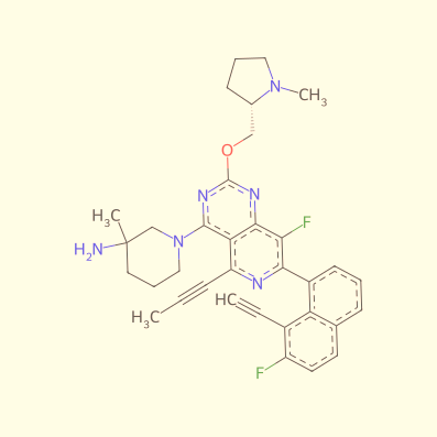 C#Cc1c(F)ccc2cccc(-c3nc(C#CC)c4c(N5CCCC(C)(N)C5)nc(OC[C@@H]5CCCN5C)nc4c3F)c12